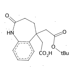 CC(C)(C)OC(=O)CC1(CC(=O)O)CCC(=O)Nc2ccccc21